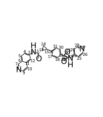 O=C(Nc1ccc2cnccc2c1)[C@@H]1CC1c1ccc(S(=O)(=O)Nc2ccncc2)cc1